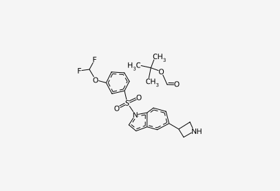 CC(C)(C)OC=O.O=S(=O)(c1cccc(OC(F)F)c1)n1ccc2cc(C3CNC3)ccc21